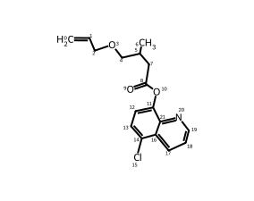 C=CCOCC(C)CC(=O)Oc1ccc(Cl)c2cccnc12